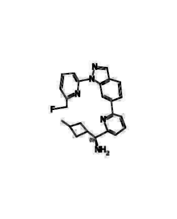 CC1CC([C@H](N)c2cccc(-c3ccc4cnn(-c5cccc(CF)n5)c4c3)n2)C1